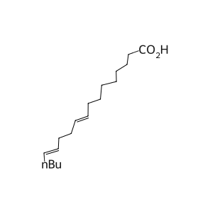 CCCC/C=C/CC/C=C/CCCCCCCC(=O)O